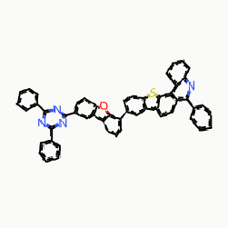 c1ccc(-c2nc(-c3ccccc3)nc(-c3ccc4oc5c(-c6ccc7sc8c(ccc9c(-c%10ccccc%10)nc%10ccccc%10c98)c7c6)cccc5c4c3)n2)cc1